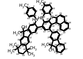 Cc1ccc(Nc2cc3c(cc2-c2cc(-c4ccc5c(c4)C(C)(C)c4ccccc4-5)c4c5c6ccccc6ccc5n5c4c2Bc2cc(C)ccc2-5)-c2cc4c(cc2C3(C)C)C(C)(C)CCC4(C)C)cc1